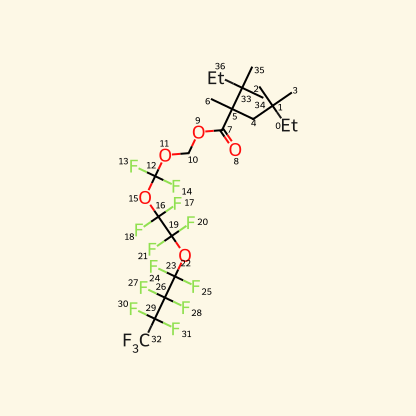 CCC(C)(C)CC(C)(C(=O)OCOC(F)(F)OC(F)(F)C(F)(F)OC(F)(F)C(F)(F)C(F)(F)C(F)(F)F)C(C)(C)CC